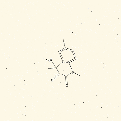 Cc1ccc2c(c1)C(C)(N)C(=O)C(=O)N2C